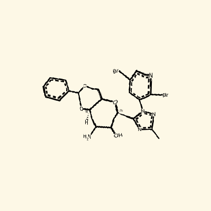 Cc1nc([C@@H]2OC3COC(c4ccccc4)O[C@@H]3C(N)C2O)n(-c2cc(Br)cnc2Br)n1